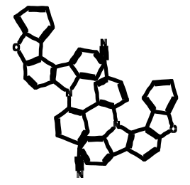 N#Cc1ccc(-n2c3ccccc3c3c4c(ccc32)oc2ccccc24)c(-c2cc(C#N)ccc2-n2c3ccccc3c3ccc4oc5ccccc5c4c32)c1